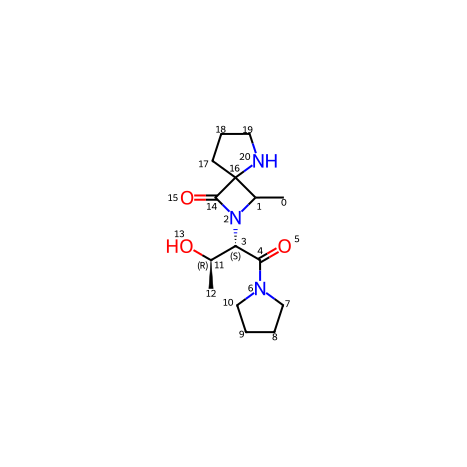 CC1N([C@H](C(=O)N2CCCC2)[C@@H](C)O)C(=O)C12CCCN2